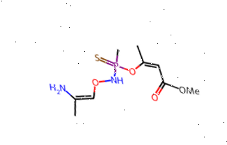 COC(=O)C=C(C)OP(C)(=S)NOC=C(C)N